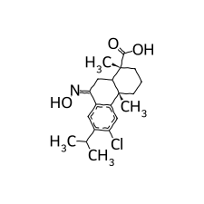 CC(C)c1cc2c(cc1Cl)[C@@]1(C)CCC[C@@](C)(C(=O)O)C1C/C2=N/O